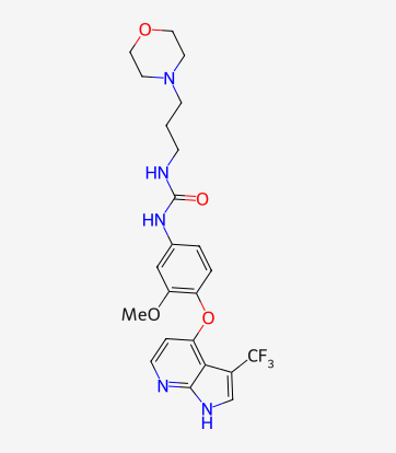 COc1cc(NC(=O)NCCCN2CCOCC2)ccc1Oc1ccnc2[nH]cc(C(F)(F)F)c12